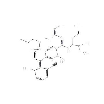 C#CC1=CC=CC(C)/C1=C(\C=C/CC)C1=C(C)C(N)C(/C(=N\C(=C/C)OC[C@@H](CCS)NCCC)NC(CC[C@H](C)CC)C(C#N)OC)C=N1